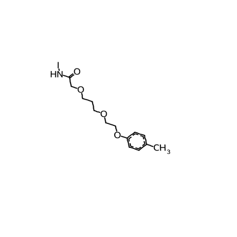 Cc1ccc(OCCOCCCOCC(=O)NI)cc1